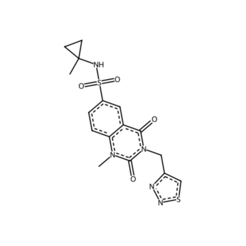 Cn1c(=O)n(Cc2csnn2)c(=O)c2cc(S(=O)(=O)NC3(C)CC3)ccc21